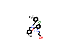 CC(C)(C)c1ccc(CN(CCc2cccc(C(F)(F)F)c2)C(=O)c2cc(Cl)ccc2NCCCO)cc1